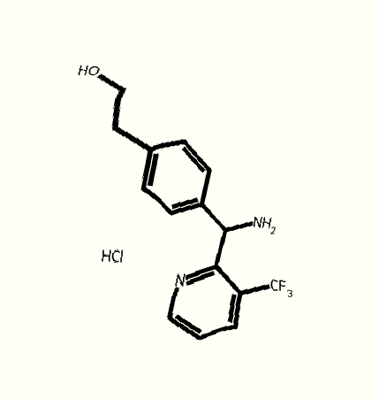 Cl.NC(c1ccc(CCO)cc1)c1ncccc1C(F)(F)F